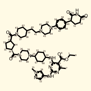 CCOC(=O)c1c(C)nc(Nc2cnn(C)c2)nc1NC1CCC(N2CCN(C(=O)[C@H]3CCC(C(=O)N4CCC(CCN5CCN(c6ccc(C7CCC(=O)NC7=O)cc6)CC5)CC4)C3)CC2)CC1